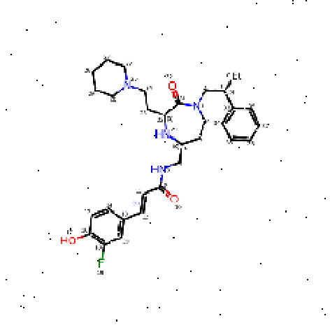 CC[C@H](CN1CC[C@@H](CNC(=O)/C=C/c2ccc(O)c(F)c2)N[C@@H](CCN2CCCCC2)C1=O)c1ccccc1